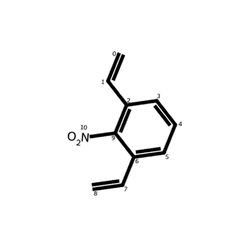 C=Cc1cccc(C=C)c1[N+](=O)[O-]